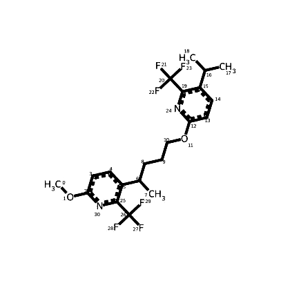 COc1ccc(C(C)CCCOc2ccc(C(C)C)c(C(F)(F)F)n2)c(C(F)(F)F)n1